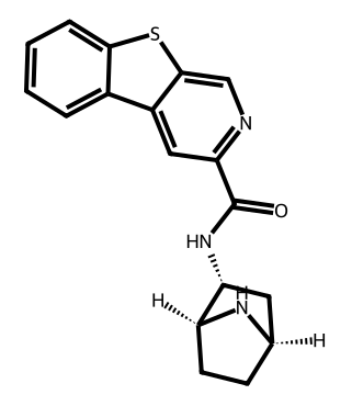 O=C(N[C@@H]1C[C@H]2CC[C@@H]1N2)c1cc2c(cn1)sc1ccccc12